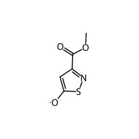 COC(=O)c1cc([O])sn1